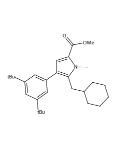 COC(=O)c1cc(-c2cc(C(C)(C)C)cc(C(C)(C)C)c2)c(CC2CCCCC2)n1C